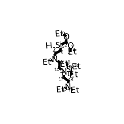 CCOC(OCC)[SiH2]CCN(CC)CCN(CCN(CC)CC)[Si](CC)(CC)CC